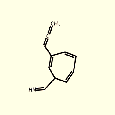 C=C=CC1=CC(C=N)C=CC=C1